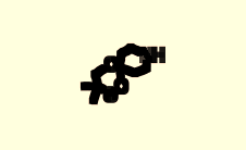 CC1(C)COC2(CCNCC2)OO1